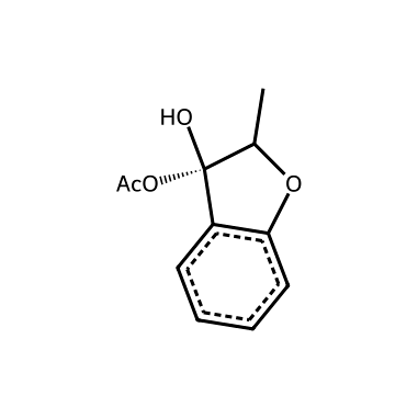 CC(=O)O[C@@]1(O)c2ccccc2OC1C